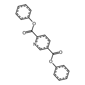 O=C(Oc1ccccc1)c1ccc(C(=O)Oc2ccccc2)nc1